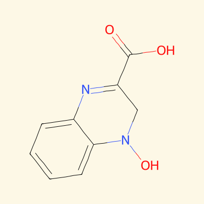 O=C(O)C1=Nc2ccccc2N(O)C1